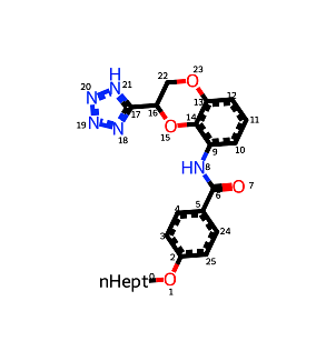 CCCCCCCOc1ccc(C(=O)Nc2cccc3c2OC(c2nnn[nH]2)CO3)cc1